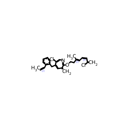 C=C(Cl)/C=C\C=C(/C)CCOC1=NC=C(Cl)C(Cc2ccccc2/C=C\C)=CC1=C